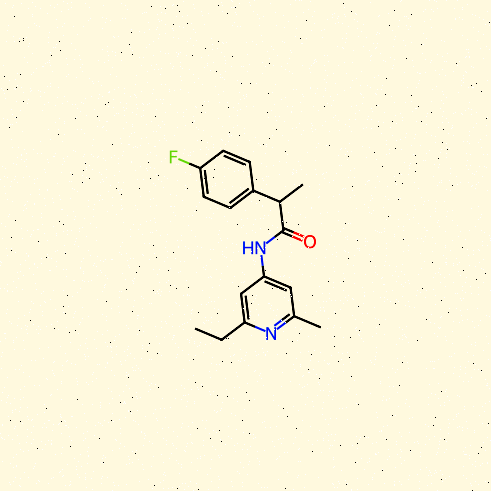 CCc1cc(NC(=O)C(C)c2ccc(F)cc2)cc(C)n1